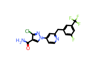 NC(=O)c1cn(-c2ccnc(Cc3cc(F)cc(C(F)(F)F)c3)c2)nc1Cl